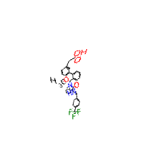 CCN(Cc1ccccc1-c1cc(CC(=O)O)ccc1OC)C(=O)NCc1ccc(C(F)(F)F)cc1